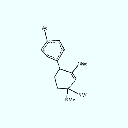 CNC1=CC(NC)(NC)CCC1c1ccc(C(C)=O)cc1